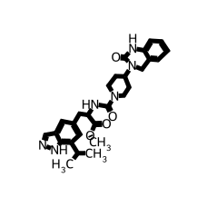 COC(=O)C(Cc1cc(C(C)C)c2[nH]ncc2c1)NC(=O)N1CCC(N2Cc3ccccc3NC2=O)CC1